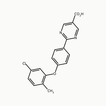 Cc1ccc(Cl)cc1Oc1ccc(-c2ncc(C(=O)O)cn2)cc1